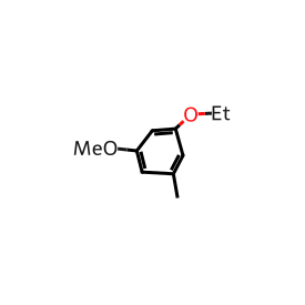 CCOc1cc(C)cc(OC)c1